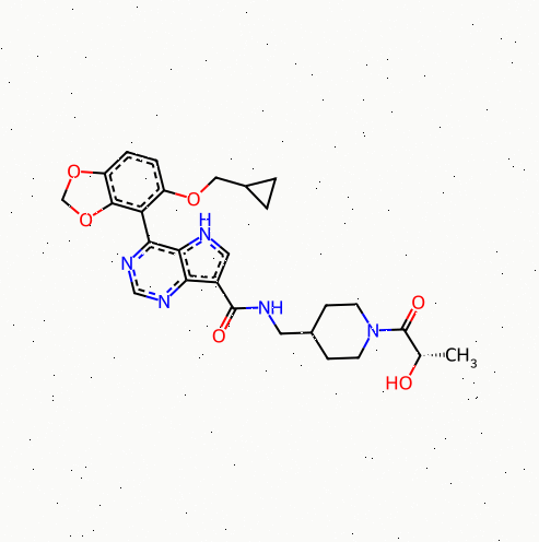 C[C@H](O)C(=O)N1CCC(CNC(=O)c2c[nH]c3c(-c4c(OCC5CC5)ccc5c4OCO5)ncnc23)CC1